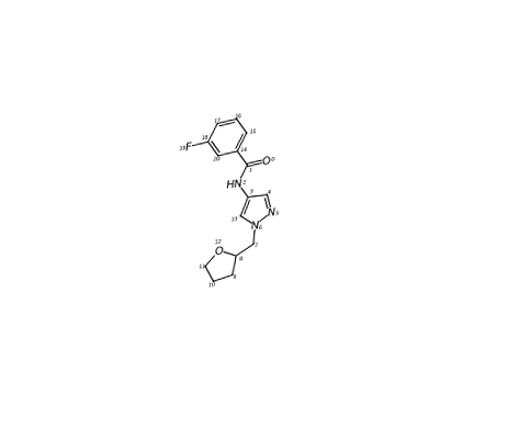 O=C(Nc1cnn(CC2CCCO2)c1)c1cccc(F)c1